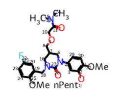 CCCCCOc1cc(N2CC(COCC(=O)N(C)C)CN(Cc3cc(F)ccc3OC)C2=O)ccc1OC